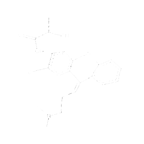 CC(O)C(=O)O.CN(C)CCC=C1c2ccccc2Sc2ccc(Cl)cc21